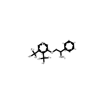 NC(COc1cncc(C(F)(F)F)c1C(F)(F)F)c1ccccc1